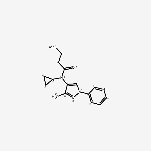 CSCCC(=O)N(c1cn(-c2cccnc2)nc1C)C1CC1